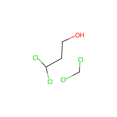 ClCCl.OCCC(Cl)Cl